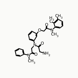 Cc1cccc(N(C)C(=O)COc2cccc(N(CC(=O)N(C)c3ccccc3)C(=O)CN)c2)c1C